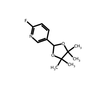 CC1(C)OC(c2ccc(F)nc2)OC1(C)C